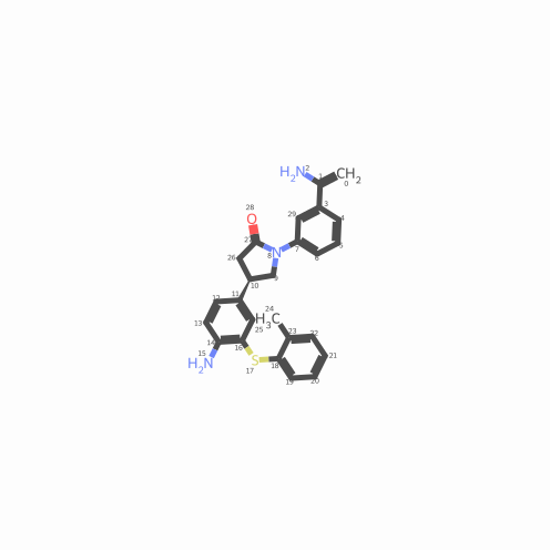 C=C(N)c1cccc(N2C[C@@H](c3ccc(N)c(Sc4ccccc4C)c3)CC2=O)c1